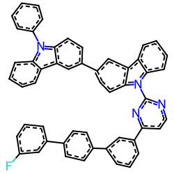 Fc1cccc(-c2ccc(-c3cccc(-c4ccnc(-n5c6ccccc6c6cc(-c7ccc8c(c7)c7ccccc7n8-c7ccccc7)ccc65)n4)c3)cc2)c1